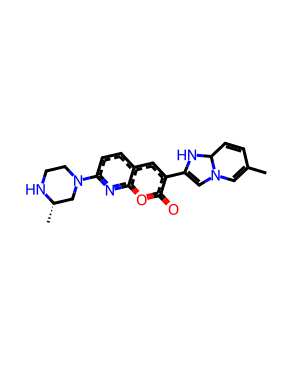 CC1=CN2C=C(c3cc4ccc(N5CCN[C@@H](C)C5)nc4oc3=O)NC2C=C1